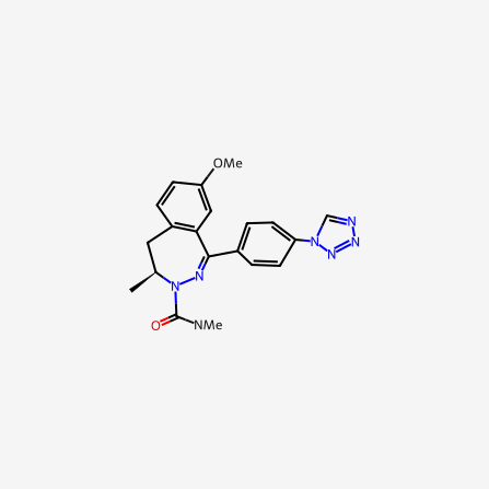 CNC(=O)N1N=C(c2ccc(-n3cnnn3)cc2)c2cc(OC)ccc2C[C@@H]1C